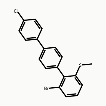 CSc1cccc(Br)c1-c1ccc(-c2ccc(Cl)cc2)cc1